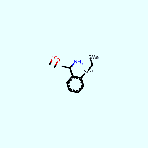 CS[CH2][Sn+2][c]1ccccc1C(C)N.C[O-].C[O-]